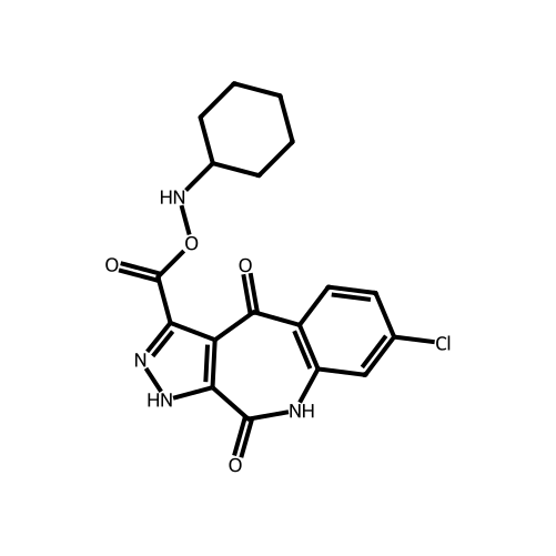 O=C(ONC1CCCCC1)c1n[nH]c2c(=O)[nH]c3cc(Cl)ccc3c(=O)c12